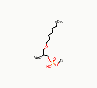 CCCCCCCCCCCCCCCCOCC(COP(=O)(O)OCC)OC